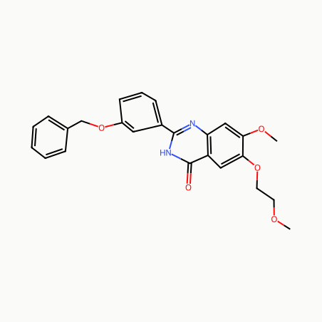 COCCOc1cc2c(=O)[nH]c(-c3cccc(OCc4ccccc4)c3)nc2cc1OC